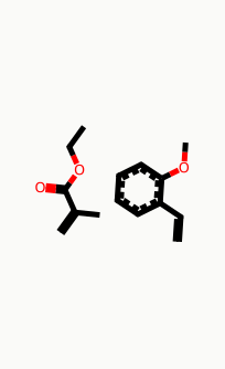 C=C(C)C(=O)OCC.C=Cc1ccccc1OC